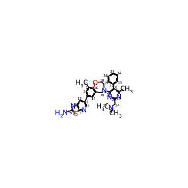 Cc1cc(-c2cnc3sc(N)nc3c2)cc2c1OCCN(c1nc(CN(C)C)nc(C)c1-c1ccccc1)C2